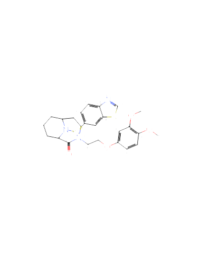 COc1ccc(OCCN2CCC3CCCC(C2=O)N3Sc2ccc3ncsc3c2)cc1OC